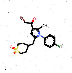 Cc1c(C(=O)CBr)cc(CC2CCS(=O)(=O)CC2)n1-c1ccc(Cl)cc1